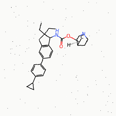 CCC1(CC)Cc2cc(-c3ccc(C4CC4)cc3)ccc2C1NC(=O)O[C@H]1CN2CCC1CC2